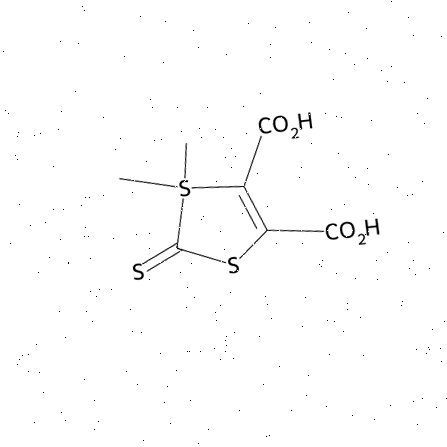 CS1(C)C(=S)SC(C(=O)O)=C1C(=O)O